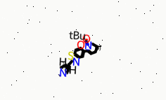 C[C@H]1CC=C(c2ccc3sc(C4[C@H]5CN(C)C[C@@H]45)nc3c2)N(C(=O)OC(C)(C)C)C1